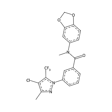 Cc1nn(-c2cccc(C(=O)N(C)c3ccc4c(c3)OCO4)c2)c(C(F)(F)F)c1Cl